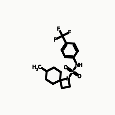 CC1CCC2(CC1)CCN2S(=O)(=O)Nc1ccc(C(F)(F)F)cc1